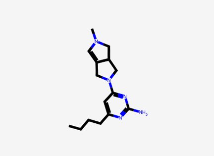 CCCCc1cc(N2CC3=CN(C)CC3C2)nc(N)n1